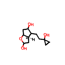 OC1C[C@H]2C(CC(O)C2CCC2(O)CC2)O1